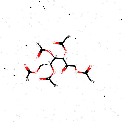 CC(C)C(=O)OCC(=O)[C@@H](OC(=O)C(C)C)[C@H](OC(=O)C(C)C)[C@@H](COC(=O)C(C)C)OC(=O)C(C)C